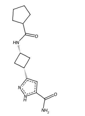 NC(=O)c1cc([C@H]2C[C@@H](NC(=O)C3CCCC3)C2)n[nH]1